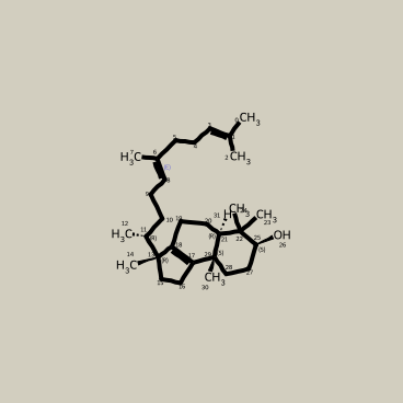 CC(C)=CCC/C(C)=C/CC[C@@H](C)[C@@]1(C)CCC2=C1CC[C@H]1C(C)(C)[C@@H](O)CC[C@]21C